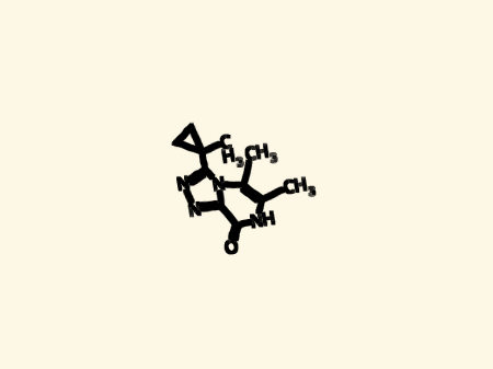 Cc1[nH]c(=O)c2nnc(C3(C)CC3)n2c1C